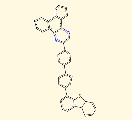 C1=CC2Sc3c(-c4ccc(-c5ccc(-c6cnc7c8ccccc8c8ccccc8c7n6)cc5)cc4)cccc3C2C=C1